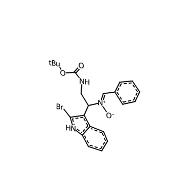 CC(C)(C)OC(=O)NCC(c1c(Br)[nH]c2ccccc12)[N+]([O-])=Cc1ccccc1